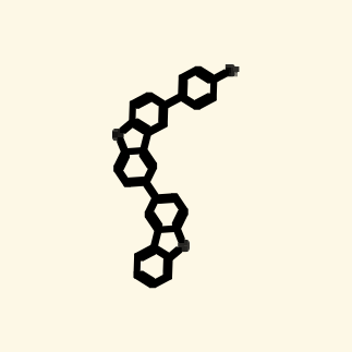 Brc1ccc(-c2ccc3oc4ccc(-c5ccc6oc7ccccc7c6c5)cc4c3c2)cc1